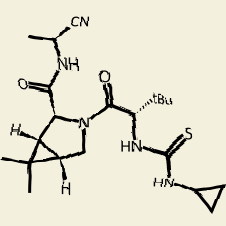 C[C@@H](C#N)NC(=O)[C@@H]1[C@@H]2[C@H](CN1C(=O)[C@@H](NC(=S)NC1CC1)C(C)(C)C)C2(C)C